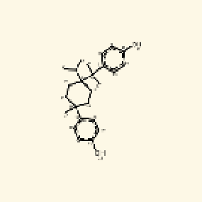 CC(C)C1(C(C)(C)c2ccc(O)cc2)CCC(C)(c2ccc(O)cc2)CC1